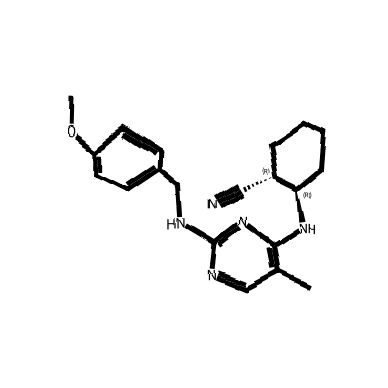 COc1ccc(CNc2ncc(C)c(N[C@@H]3CCCC[C@H]3C#N)n2)cc1